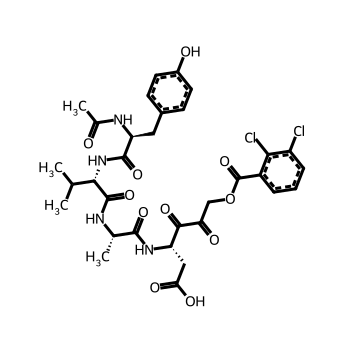 CC(=O)N[C@@H](Cc1ccc(O)cc1)C(=O)N[C@H](C(=O)N[C@@H](C)C(=O)N[C@@H](CC(=O)O)C(=O)C(=O)COC(=O)c1cccc(Cl)c1Cl)C(C)C